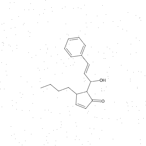 CCCCC1C=CC(=O)C1C(O)C=Cc1ccccc1